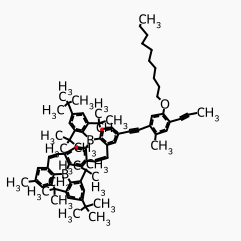 CC#Cc1cc(C)c(C#Cc2ccc3c(c2)C=Cc2cc4c(cc2B3c2c(C(C)(C)C)cc(C(C)(C)C)cc2C(C)(C)C)C=Cc2cc(C)ccc2B4c2c(C(C)(C)C)cc(C(C)(C)C)cc2C(C)(C)C)cc1OCCCCCCCCCC